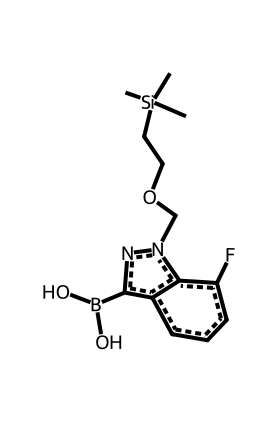 C[Si](C)(C)CCOCn1nc(B(O)O)c2cccc(F)c21